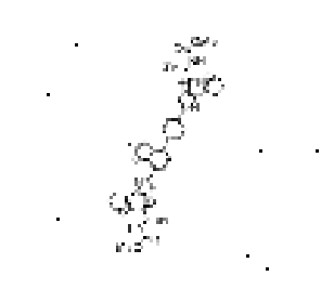 COC(=O)N[C@H](C(=O)N1CC2CCC1(c1nc(-c3ccc(-c4ccc(-c5c[nH]c(C67CCC(CN6C(=O)[C@@H](NC(=O)OC)C(C)C)C7)n5)c5oc(C)cc45)cc3)c[nH]1)C2)C(C)C